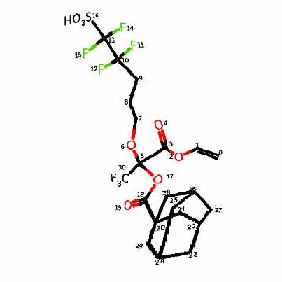 C=COC(=O)C(OCCCC(F)(F)C(F)(F)S(=O)(=O)O)(OC(=O)C12CC3CC(CC(C3)C1)C2)C(F)(F)F